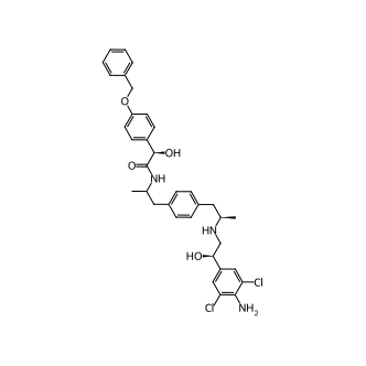 CC(Cc1ccc(C[C@@H](C)NC[C@H](O)c2cc(Cl)c(N)c(Cl)c2)cc1)NC(=O)[C@H](O)c1ccc(OCc2ccccc2)cc1